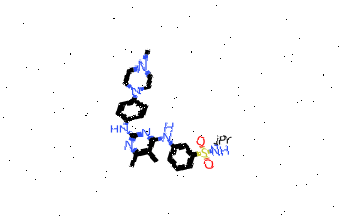 Cc1nc(Nc2ccc(N3CCN(C)CC3)cc2)nc(Nc2cccc(S(=O)(=O)NC(C)C)c2)c1C